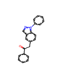 O=C(Cc1ccc2c(cnn2-c2ccccc2)c1)c1ccccc1